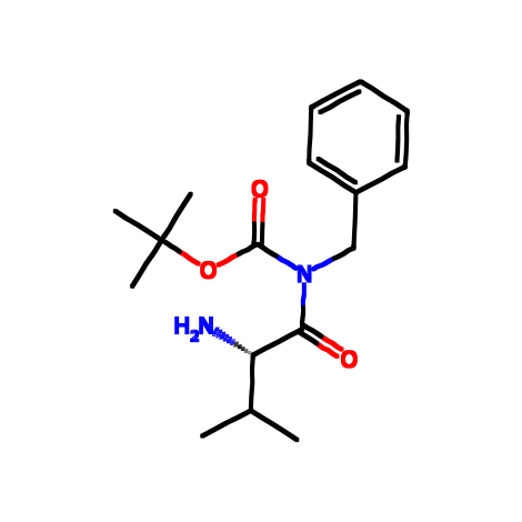 CC(C)[C@H](N)C(=O)N(Cc1ccccc1)C(=O)OC(C)(C)C